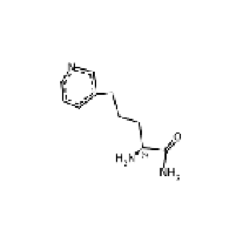 NC(=O)[C@@H](N)CCCc1cccnc1